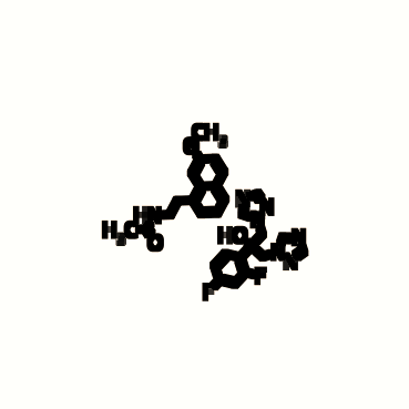 COc1ccc2cccc(CCNC(C)=O)c2c1.OC(Cn1cncn1)(Cn1cncn1)c1ccc(F)cc1F